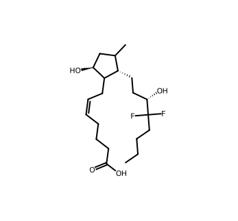 CCCCC(F)(F)[C@@H](O)CC[C@H]1C(C)C[C@H](O)C1C/C=C\CCCC(=O)O